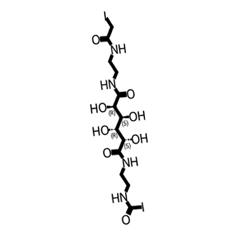 O=C(I)NCCNC(=O)[C@@H](O)[C@H](O)[C@H](O)[C@@H](O)C(=O)NCCNC(=O)CI